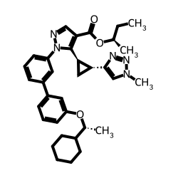 CC[C@@H](C)OC(=O)c1cnn(-c2cccc(-c3cccc(O[C@H](C)C4CCCCC4)c3)c2)c1[C@@H]1C[C@H]1c1cn(C)nn1